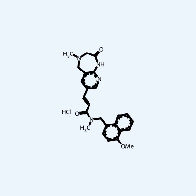 COc1ccc(CN(C)C(=O)/C=C/c2cnc3c(c2)CN(C)CC(=O)N3)c2ccccc12.Cl